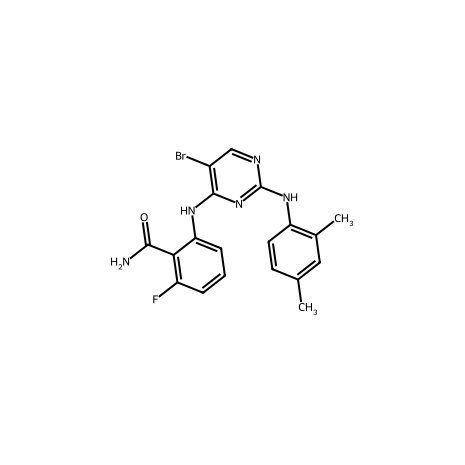 Cc1ccc(Nc2ncc(Br)c(Nc3cccc(F)c3C(N)=O)n2)c(C)c1